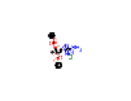 C#C[C@]1(COC(=O)OC23CCC(CC2)CC3)O[C@@H](n2cnc3c(N)nc(Cl)nc32)C[C@@H]1OC(=O)OC12CCC(CC1)CC2